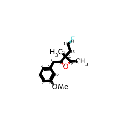 COc1cccc(CC2OC(C)C2(C)CCF)c1